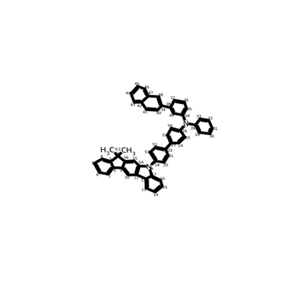 CC1(C)c2ccccc2-c2cc3c4ccccc4n(-c4ccc(-c5ccc(N(c6ccccc6)c6cccc(-c7ccc8ccccc8c7)c6)cc5)cc4)c3cc21